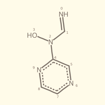 N=CN(O)c1cnccn1